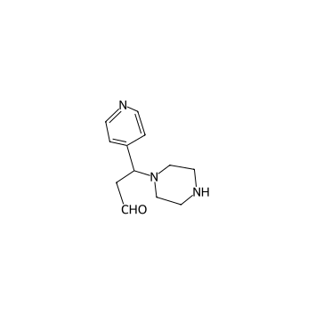 O=CCC(c1ccncc1)N1CCNCC1